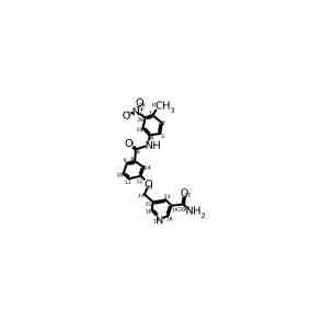 Cc1ccc(NC(=O)c2cccc(OCc3cncc(C(N)=O)c3)c2)cc1[N+](=O)[O-]